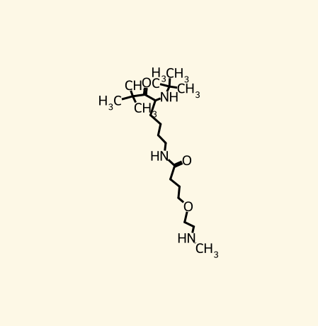 CNCCOCCCC(=O)NCCCCC(NC(C)(C)C)C(=O)C(C)(C)C